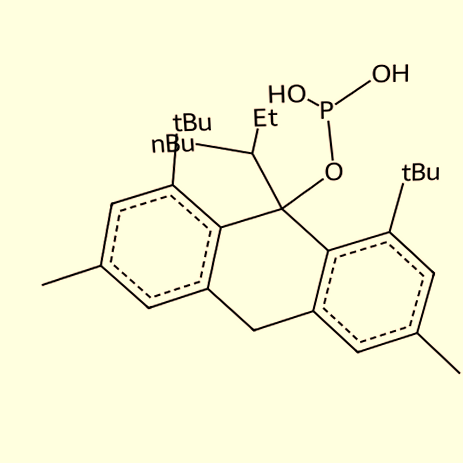 CCCCC(CC)C1(OP(O)O)c2c(cc(C)cc2C(C)(C)C)Cc2cc(C)cc(C(C)(C)C)c21